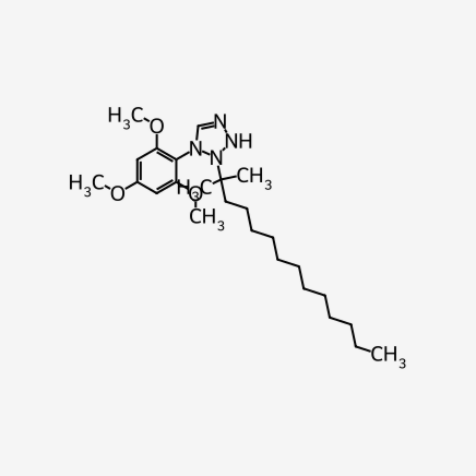 CCCCCCCCCCCCC(C)(C)N1NN=CN1c1c(OC)cc(OC)cc1OC